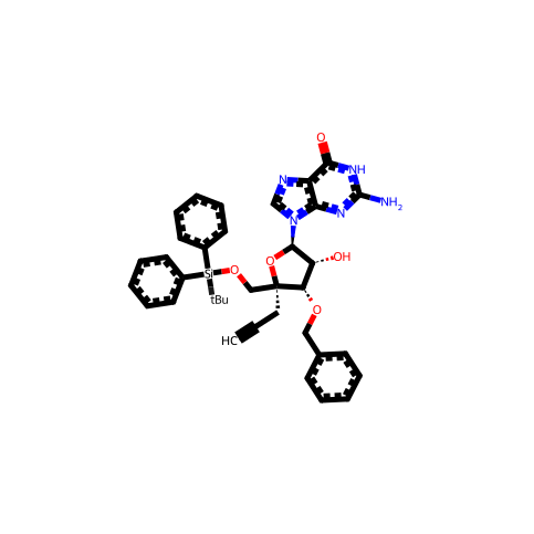 C#CC[C@]1(CO[Si](c2ccccc2)(c2ccccc2)C(C)(C)C)O[C@@H](n2cnc3c(=O)[nH]c(N)nc32)[C@H](O)[C@@H]1OCc1ccccc1